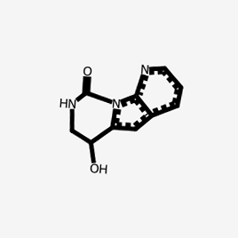 O=C1NCC(O)c2cc3cccnc3n21